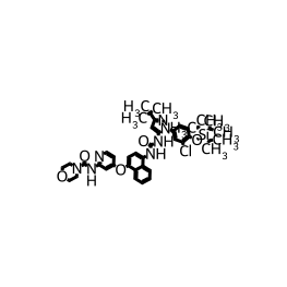 CC(C)[Si](Oc1ccc(-n2nc(C(C)(C)C)cc2NC(=O)Nc2ccc(Oc3ccnc(NC(=O)N4CCOCC4)c3)c3ccccc23)cc1Cl)(C(C)C)C(C)C